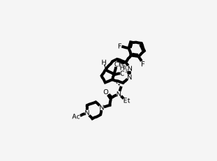 CCN(C[C@@]12CC[C@@H](C/C=C(c3c(F)cccc3F)\N=N/C1)C2(C)C)C(=O)CN1CCN(C(C)=O)CC1